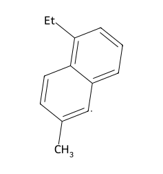 CCc1cccc2[c]c(C)ccc12